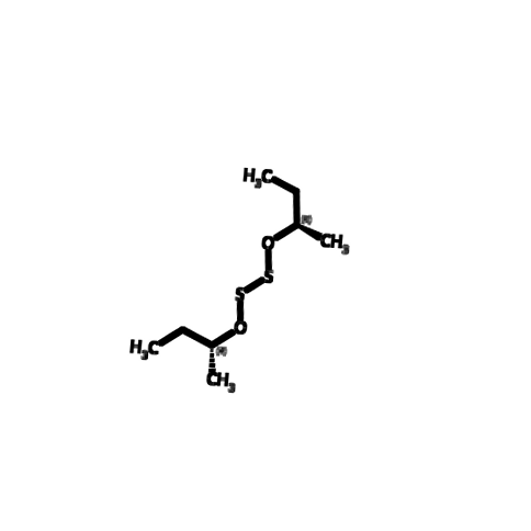 CC[C@@H](C)OSSO[C@H](C)CC